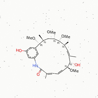 CO[C@H]1[C@@H](OC)C[C@H](C)[C@@H](OC)c2cc(O)cc(c2)NC(=O)C(C)=CC=C[C@H](OC)[C@@H](O)C(C)=C[C@@H]1C